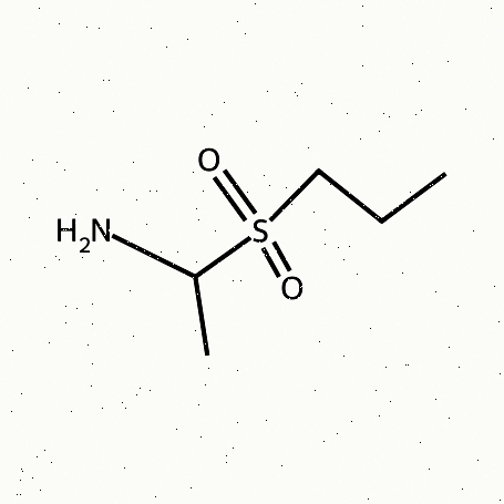 CCCS(=O)(=O)C(C)N